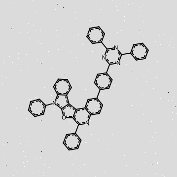 c1ccc(-c2nc(-c3ccccc3)nc(-c3ccc(-c4ccc5nc(-c6ccccc6)c6oc7c(c8ccccc8n7-c7ccccc7)c6c5c4)cc3)n2)cc1